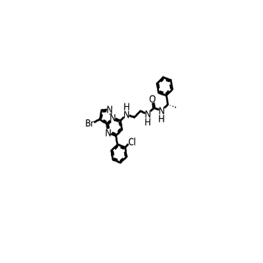 C[C@H](NC(=O)NCCNc1cc(-c2ccccc2Cl)nc2c(Br)cnn12)c1ccccc1